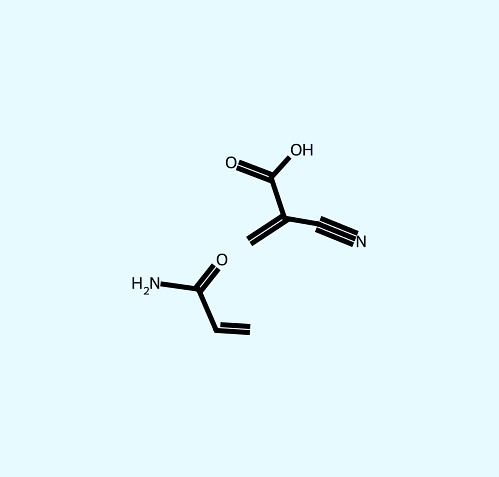 C=C(C#N)C(=O)O.C=CC(N)=O